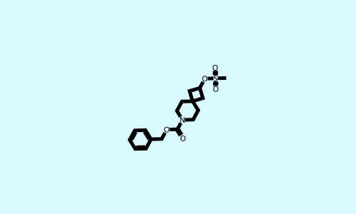 CS(=O)(=O)OC1CC2(CCN(C(=O)OCc3ccccc3)CC2)C1